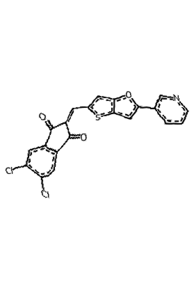 O=C1C(=Cc2cc3oc(-c4cccnc4)cc3s2)C(=O)c2cc(Cl)c(Cl)cc21